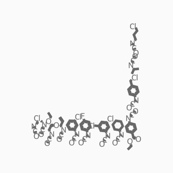 C=CCN=C=O.CC(C)N=C=O.CCOC(=O)CN=C=O.CCOC(=O)c1ccc(N=C=O)cc1.CN=C=O.O=C=NC1CCCCC1.O=C=NCCCCl.O=C=NCCl.O=C=Nc1cc(Cl)cc(Cl)c1.O=C=Nc1ccc(CCl)cc1.O=C=Nc1ccc(F)cc1.O=C=Nc1cccc(Cl)c1